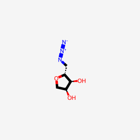 [N-]=[N+]=NC[C@H]1OC[C@H](O)[C@@H]1O